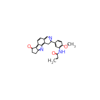 C=CC(=O)Nc1cc(C2=NC=c3ccc4c(c3C2)N=C2CCC(=O)C=42)ccc1OC